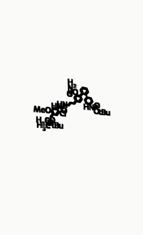 COc1cc(NC(=O)NCCCc2ccc(-c3ccccc3[C@H]3CC[C@H](NC(=O)OC(C)(C)C)CC3)c(OC(N)=O)c2)c(Cl)cc1CO[Si](C)(C)C(C)(C)C